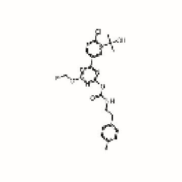 CC(C)(O)c1cc(-c2nc(OCF)nc(OC(=O)NCCc3ccc(F)cc3)n2)ccc1Cl